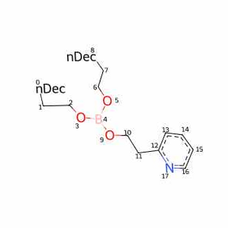 CCCCCCCCCCCCOB(OCCCCCCCCCCCC)OCCc1ccccn1